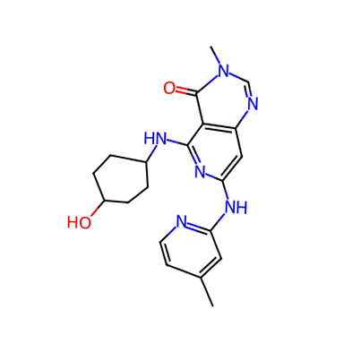 Cc1ccnc(Nc2cc3ncn(C)c(=O)c3c(NC3CCC(O)CC3)n2)c1